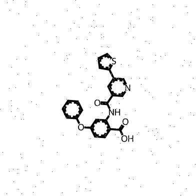 O=C(Nc1cc(Oc2ccccc2)ccc1C(=O)O)c1cncc(-c2cccs2)c1